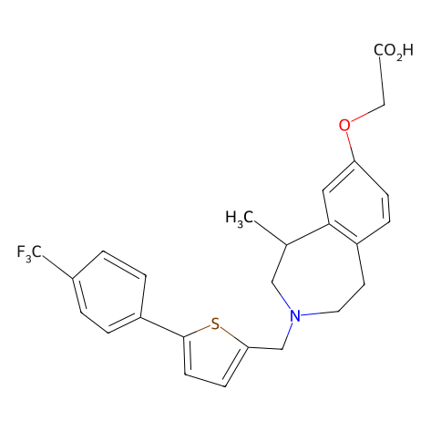 CC1CN(Cc2ccc(-c3ccc(C(F)(F)F)cc3)s2)CCc2ccc(OCC(=O)O)cc21